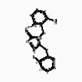 O=c1onc(Cc2ccccc2F)n1Cc1c(F)cccc1Cl